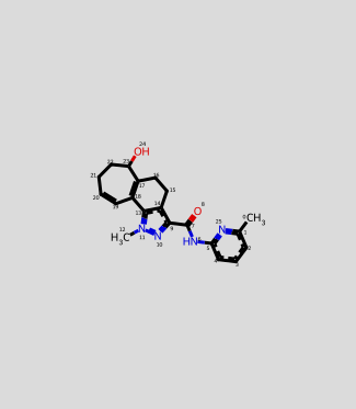 Cc1cccc(NC(=O)c2nn(C)c3c2CCC2=C3C=CCCC2O)n1